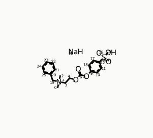 C[N+](C)(CCOC(=O)Oc1ccc(S(=O)(=O)O)cc1)Cc1ccccc1.[NaH]